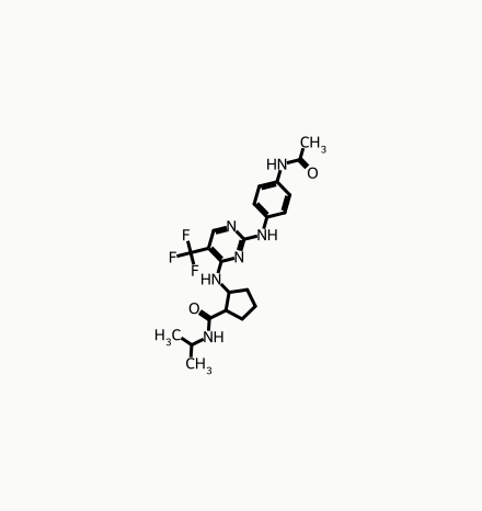 CC(=O)Nc1ccc(Nc2ncc(C(F)(F)F)c(NC3CCCC3C(=O)NC(C)C)n2)cc1